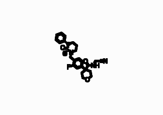 N#CCNC(=O)C1(c2ccc(CN3CCC[C@H](c4ccccc4)S3(=O)=O)c(F)c2)CCOCC1